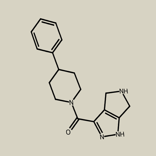 O=C(c1n[nH]c2c1CNC2)N1CCC(c2ccccc2)CC1